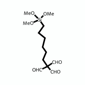 CO[Si](CCCCCCC(C=O)(C=O)C=O)(OC)OC